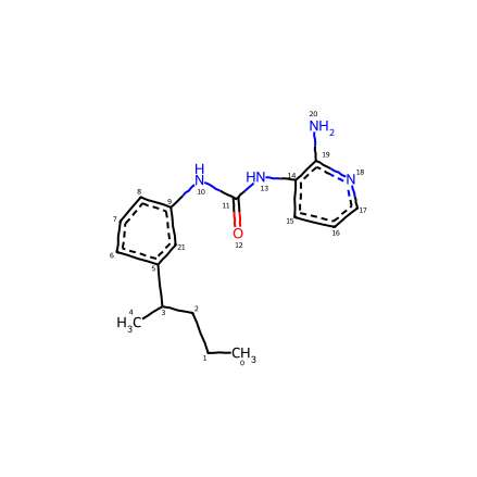 CCCC(C)c1cccc(NC(=O)Nc2cccnc2N)c1